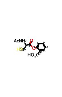 CC(=O)NC(CS)C(=O)Oc1ccccc1C(=O)O